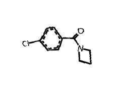 O=C(c1ccc(Cl)cc1)N1CCC1